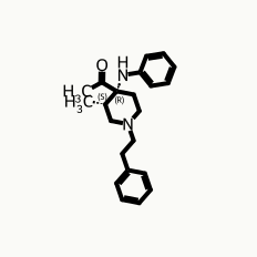 CC(=O)[C@@]1(Nc2ccccc2)CCN(CCc2ccccc2)C[C@@H]1C